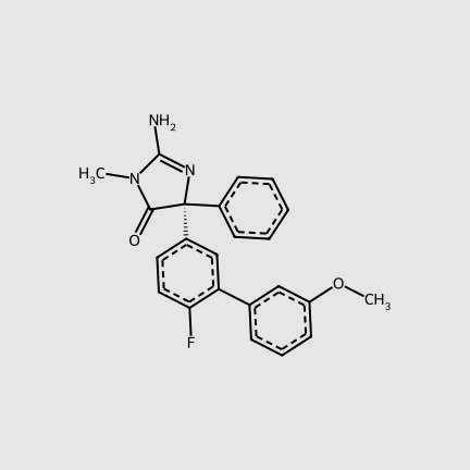 COc1cccc(-c2cc([C@@]3(c4ccccc4)N=C(N)N(C)C3=O)ccc2F)c1